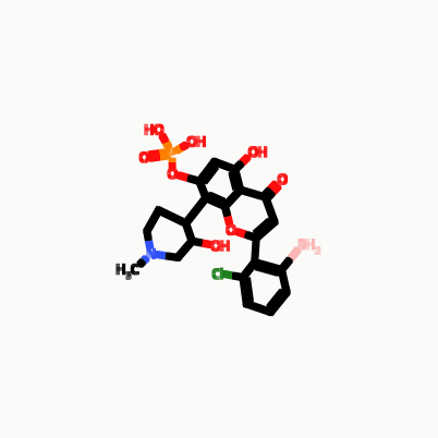 Bc1cccc(Cl)c1-c1cc(=O)c2c(O)cc(OP(=O)(O)O)c(C3CCN(C)CC3O)c2o1